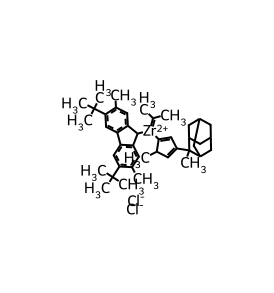 C[C](C)=[Zr+2]([C]1=CC(C2(C)C3CC4CC(C3)CC2C4)=CC1C)[CH]1c2cc(C)c(C(C)(C)C)cc2-c2cc(C(C)(C)C)c(C)cc21.[Cl-].[Cl-]